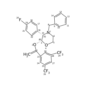 C=C(O[C@H]1OCCN(Cc2ccccc2)[C@H]1c1ccc(F)cc1)c1cc(C(F)(F)F)cc(C(F)(F)F)c1